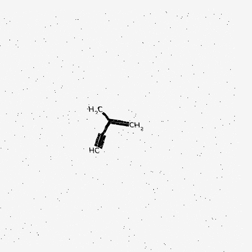 C#CC([CH2])=C